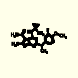 COc1ccc(C(C)c2nc(NC3(C)CC3)c3c(C(N)=O)c(C)oc3n2)cc1F